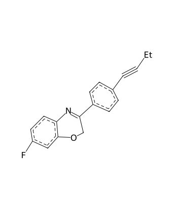 CCC#Cc1ccc(C2=Nc3ccc(F)cc3OC2)cc1